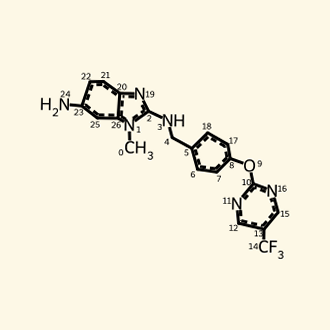 Cn1c(NCc2ccc(Oc3ncc(C(F)(F)F)cn3)cc2)nc2ccc(N)cc21